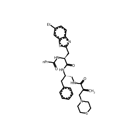 C=C(CN1CCSCC1)C(=O)NC[C@H](Cc1ccccc1)NC(=O)[C@H](Cc1nc2ccc(CC)cc2s1)NC(=O)CCC